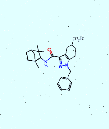 CCOC(=O)C1CCc2c(c(C(=O)NC3C4(C)CCC(C4)C3(C)C)nn2Cc2ccccc2)C1